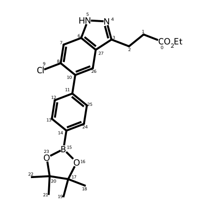 CCOC(=O)CCc1n[nH]c2cc(Cl)c(-c3ccc(B4OC(C)(C)C(C)(C)O4)cc3)cc12